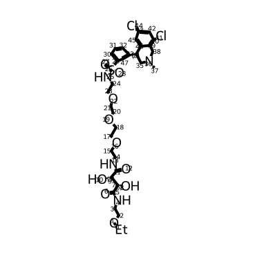 CCOCCNC(=O)[C@@H](O)[C@H](O)C(=O)NCCOCCOCCOCCNS(=O)(=O)c1cccc([C@@H]2CN(C)Cc3c(Cl)cc(Cl)cc32)c1